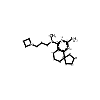 CN(CCCN1CCC1)c1nc(N)nc2c1CCCC21CCCC1